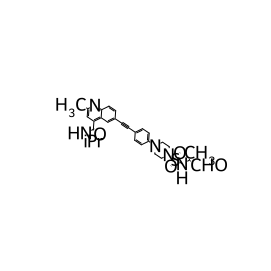 Cc1cc(C(=O)NC(C)C)c2cc(C#Cc3ccc(N4CCN(S(=O)(=O)N[C@H](C)C=O)CC4)cc3)ccc2n1